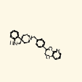 c1ccc2c(c1)NCC21CCN(Cc2ccc(C3COc4cccnc4O3)cc2)CC1